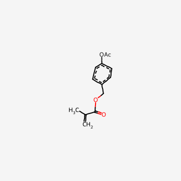 C=C(C)C(=O)OCc1ccc(OC(C)=O)cc1